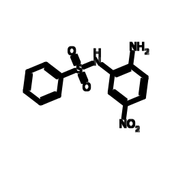 Nc1ccc([N+](=O)[O-])cc1NS(=O)(=O)c1ccccc1